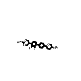 CCCC1CCC(c2ccc(-c3ccc(C4COC(CCC)OC4)c(F)c3F)cc2)OC1